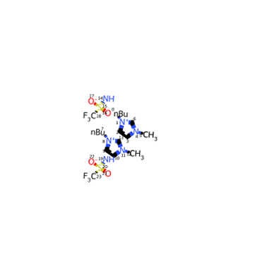 CCCC[n+]1ccn(C)c1.CCCC[n+]1ccn(C)c1.N=S(=O)([O-])C(F)(F)F.N=S(=O)([O-])C(F)(F)F